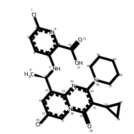 C[C@@H](Nc1ccc(Cl)nc1C(=O)O)c1cc(Cl)cn2c(=O)c(C3CC3)c(N3CCCCC3)nc12